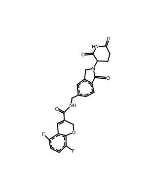 O=C1CCC(N2Cc3cc(CNC(=O)C4=Cc5c(F)ccc(F)c5OC4)ccc3C2=O)C(=O)N1